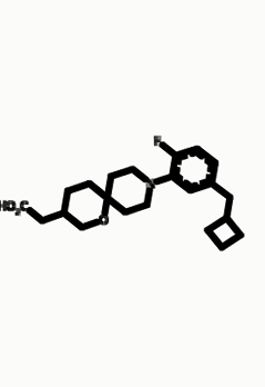 O=C(O)CC1CCC2(CCN(c3cc(CC4CCC4)ccc3F)CC2)OC1